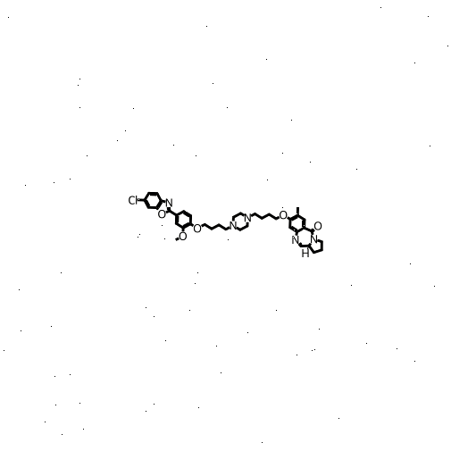 COc1cc(-c2nc3ccc(Cl)cc3o2)ccc1OCCCCN1CCN(CCCCOc2cc3c(cc2C)C(=O)N2CCC[C@H]2C=N3)CC1